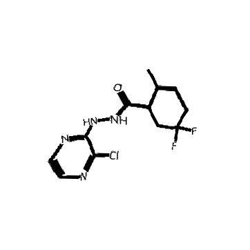 CC1CCC(F)(F)CC1C(=O)NNc1nccnc1Cl